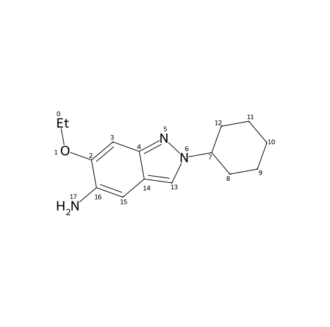 CCOc1cc2nn(C3CCCCC3)cc2cc1N